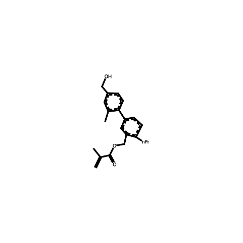 C=C(C)C(=O)OCc1cc(-c2ccc(CO)cc2C)ccc1CCC